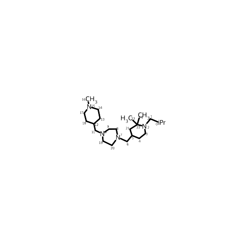 CC(C)CN1CCC(CN2CCN(CC3CCN(C)CC3)CC2)CC1(C)C